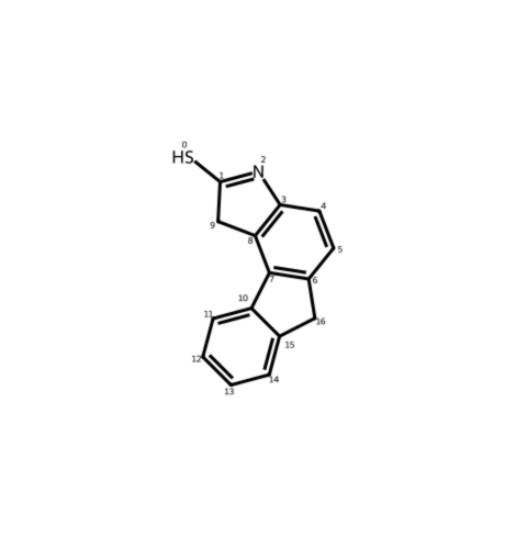 SC1=Nc2ccc3c(c2C1)-c1ccccc1C3